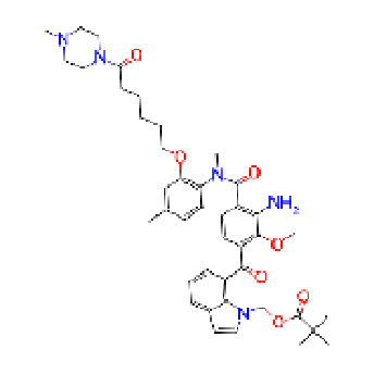 COc1c(C(=O)c2cccc3ccn(COC(=O)C(C)(C)C)c23)ccc(C(=O)N(C)c2ccc(C)cc2OCCCCCC(=O)N2CCN(C)CC2)c1N